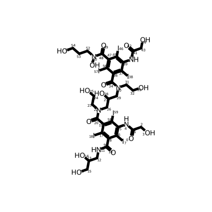 O=C(CO)Nc1c(I)c(C(=O)NCC(O)CO)c(I)c(C(=O)N(CCO)CC(O)CN(CCO)C(=O)c2c(I)c(NC(=O)CO)c(I)c(C(=O)N(O)CCCO)c2I)c1I